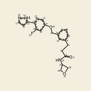 O=C(CCc1cccc(COc2cnc(-c3ccn[nH]3)c(F)c2)c1)NC1COC1